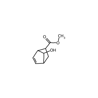 COC(=O)C1CC2C=CC1C2O